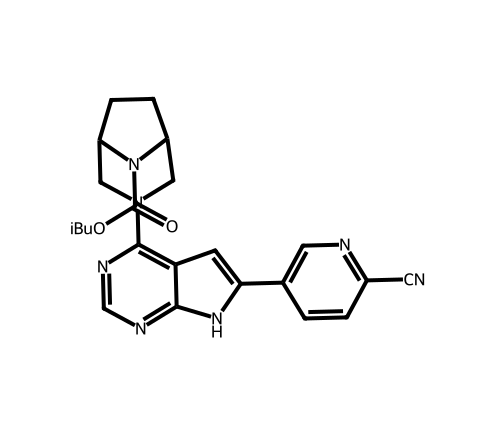 CC(C)COC(=O)N1C2CCC1CN(c1ncnc3[nH]c(-c4ccc(C#N)nc4)cc13)C2